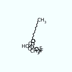 CCCCCCCCCCCCc1ccc(CN(C(=O)C(=O)O)C(CC)c2ccc(C(F)(F)F)cc2)cc1